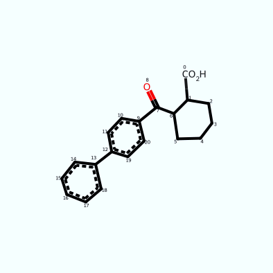 O=C(O)C1CCCCC1C(=O)c1ccc(-c2ccccc2)cc1